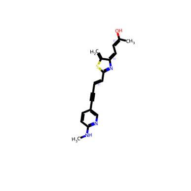 C=c1sc(/C=C/C#Cc2ccc(NC)nc2)n/c1=C/C=C(\C)O